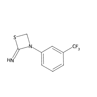 N=C1SCN1c1cccc(C(F)(F)F)c1